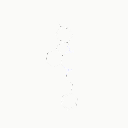 Fc1ccc2[nH]c3c(c2c1)CCCC3NCCc1ccccc1